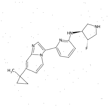 CC1(c2ccn3c(-c4cccc(N[C@H]5CNC[C@@H]5F)n4)cnc3c2)CC1